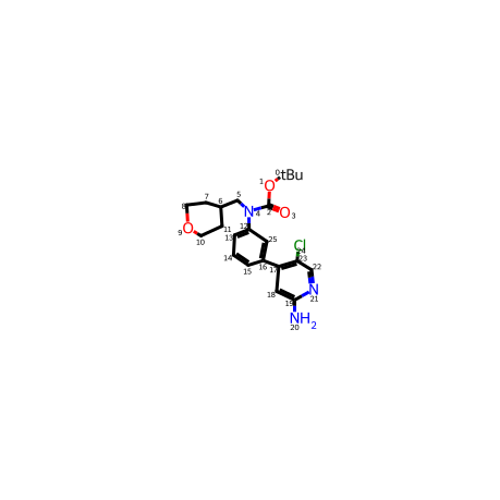 CC(C)(C)OC(=O)N(CC1CCOCC1)c1cccc(-c2cc(N)ncc2Cl)c1